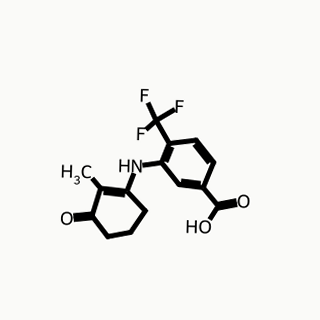 CC1=C(Nc2cc(C(=O)O)ccc2C(F)(F)F)CCCC1=O